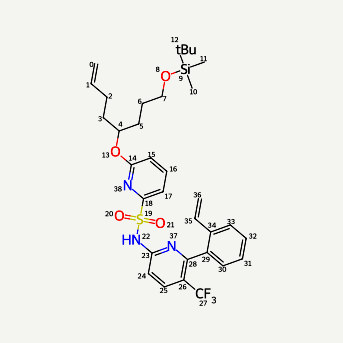 C=CCCC(CCCO[Si](C)(C)C(C)(C)C)Oc1cccc(S(=O)(=O)Nc2ccc(C(F)(F)F)c(-c3ccccc3C=C)n2)n1